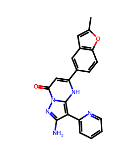 Cc1cc2cc(-c3cc(=O)n4nc(N)c(-c5ccccn5)c4[nH]3)ccc2o1